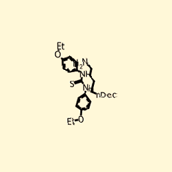 CCCCCCCCCCCCCCN.CCOc1ccc(NC(=S)Nc2ccc(OCC)cc2)cc1